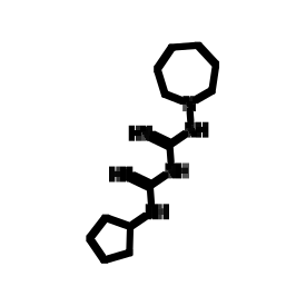 N=C(NC(=N)NN1CCCCCC1)NC1CCCC1